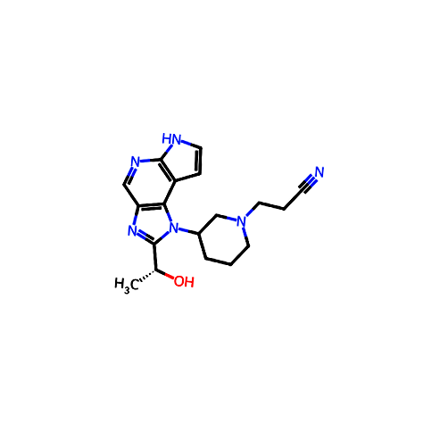 C[C@@H](O)c1nc2cnc3[nH]ccc3c2n1C1CCCN(CCC#N)C1